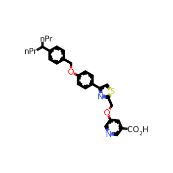 CCCC(CCC)c1ccc(COc2ccc(-c3csc(COc4cncc(C(=O)O)c4)n3)cc2)cc1